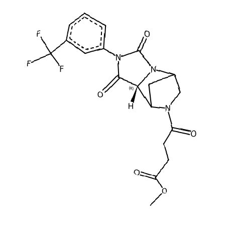 COC(=O)CCC(=O)N1CC2CC1[C@@H]1C(=O)N(c3cccc(C(F)(F)F)c3)C(=O)N21